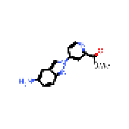 COC(=O)c1cc(-n2cc3cc(N)ccc3n2)ccn1